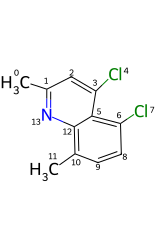 Cc1cc(Cl)c2c(Cl)ccc(C)c2n1